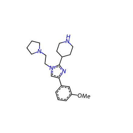 COc1cccc(-c2cn(CCN3CCCC3)c(C3CCNCC3)n2)c1